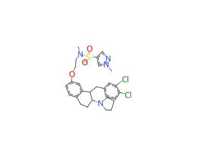 CN(CCOc1ccc2c(c1)C(Cc1ccc(Cl)c(Cl)c1)C(N1CCCC1)CC2)S(=O)(=O)c1cnn(C)c1